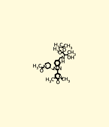 CC(=O)N1CCC[C@H](Cn2c(-c3cc(C)c(=O)n(C)c3)nc3cc(CNC(C(=O)OC(C)(C)C)C(C)O)ccc32)C1